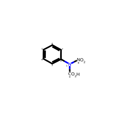 O=C(O)N(c1ccccc1)[N+](=O)[O-]